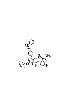 N#Cc1c(N)sc2c(F)ccc(-c3c(Cl)cc4c(N5CCC(C(=O)Oc6ccccc6Cl)CC5)nc(OC[C@@]56CCCN5C[C@H](F)C6)nc4c3F)c12